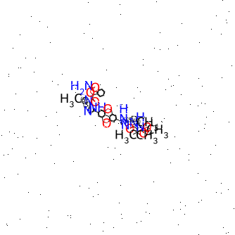 COC(=O)NC(C(=O)N1[C@@H](C)CC[C@H]1c1ncc(-c2cc3c4c(c2)OCc2cc(-c5cnc([C@@H]6C[C@H](C)CN6C(=O)C(OC(N)=O)c6ccccc6)[nH]5)cc(c2-4)OC3)[nH]1)C(C)C